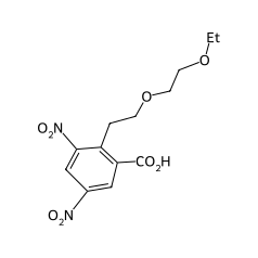 CCOCCOCCc1c(C(=O)O)cc([N+](=O)[O-])cc1[N+](=O)[O-]